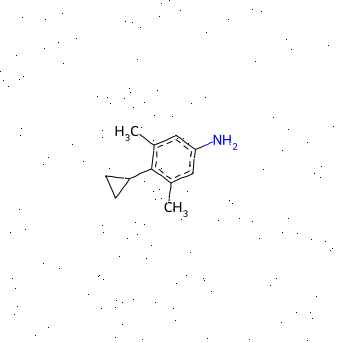 Cc1cc(N)cc(C)c1C1CC1